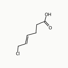 O=C(O)CCC=CCCl